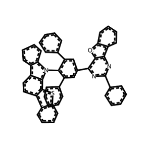 c1ccc(-c2nc(-c3cc(-c4ccccc4)c(-n4c5ccccc5c5ccc6c7ccccc7sc6c54)c(-c4ccccc4)c3)c3oc4ccccc4c3n2)cc1